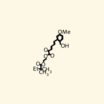 CCC(C)(C)C(=O)OCCOC(=O)C(=O)/C=C/C=C/c1cc(OC)ccc1CO